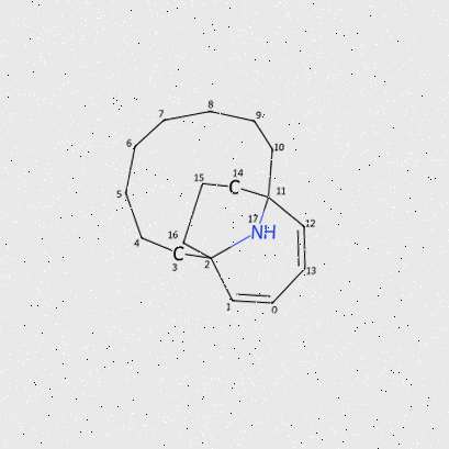 C1=CC23CCCCCCCCC(C=C1)(CCC2)N3